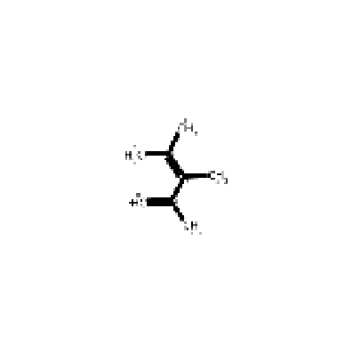 [CH]=C(C)C(C)=C(C)C